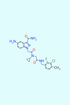 Cc1ccc(CNC(=O)CN(C(=O)Cn2nc(C(N)=O)c3cc(N)ccc32)C2CC2)c(F)c1Cl